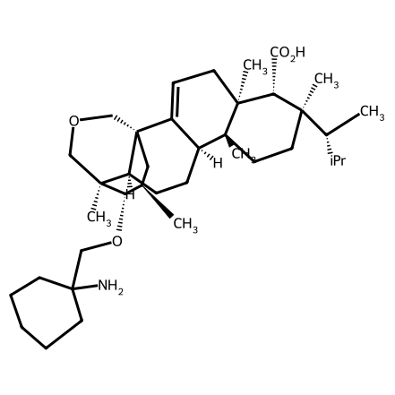 CC(C)[C@@H](C)[C@@]1(C)CC[C@]2(C)[C@H]3CC[C@@H]4[C@@]5(COC[C@]4(C)[C@@H](OCC4(N)CCCCC4)[C@H](C)C5)C3=CC[C@@]2(C)[C@@H]1C(=O)O